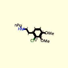 CCCNCCc1ccc(OC)c(OC)c1Cl